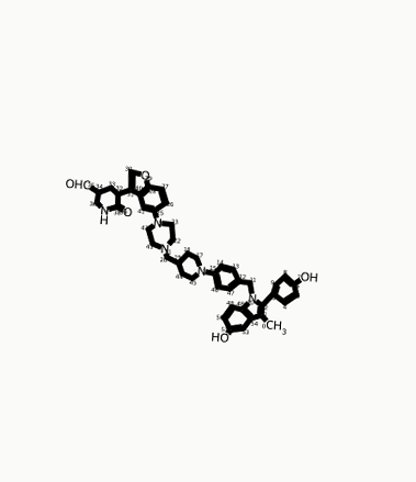 Cc1c(-c2ccc(O)cc2)n(Cc2ccc(N3CCC(CN4CCN(c5ccc6occ(C7CC(C=O)CNC7=O)c6c5)CC4)CC3)cc2)c2ccc(O)cc12